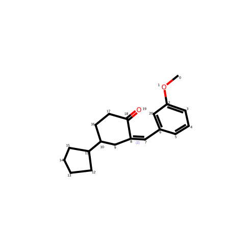 COc1cccc(/C=C2/CC(C3CCCC3)CCC2=O)c1